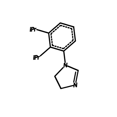 CC(C)c1cccc(N2C=NCC2)c1C(C)C